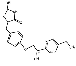 CCc1ccc([C@H](O)COc2ccc(CC3SC(O)NC3=O)cc2)nc1